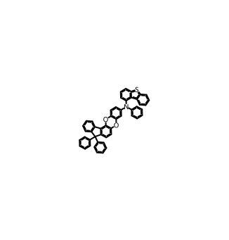 c1ccc(N(c2ccc3c(c2)Oc2ccc4c(c2O3)-c2ccccc2C4(c2ccccc2)c2ccccc2)c2cccc3sc4ccccc4c23)cc1